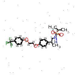 CC(CNS(=O)(=O)C(C)C)c1ccc(OCCOc2ccc(C(F)(F)F)cc2)cc1